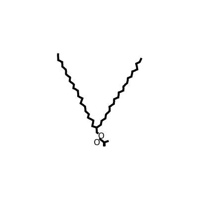 C=C(C)C(=O)OCC(CCCCCCCCCCCCCCCCCCCC)CCCCCCCCCCCCCCCCCCCC